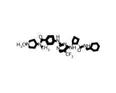 CN1CCC(N(C)C(=O)c2ccc(Nc3ncc(C(F)(F)F)c(N[C@@H]4CCC[C@@H]4C(=O)NCC4CCCCC4)n3)cc2)CC1